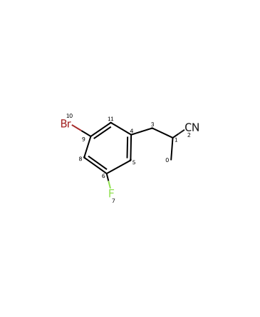 CC(C#N)Cc1cc(F)cc(Br)c1